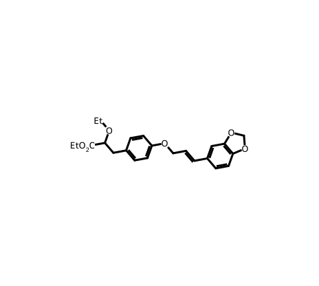 CCOC(=O)C(Cc1ccc(OCC=Cc2ccc3c(c2)OCO3)cc1)OCC